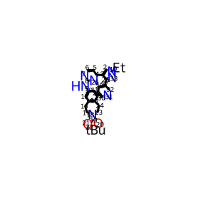 CCn1cc(-c2ccnc(Nc3ccc4c(c3)CCN(C(=O)OC(C)(C)C)CC4)n2)c(-c2cccnc2)n1